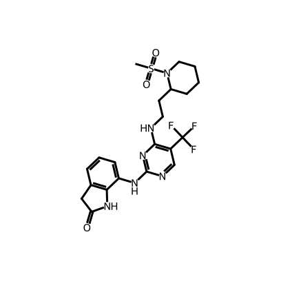 CS(=O)(=O)N1CCCCC1CCNc1nc(Nc2cccc3c2NC(=O)C3)ncc1C(F)(F)F